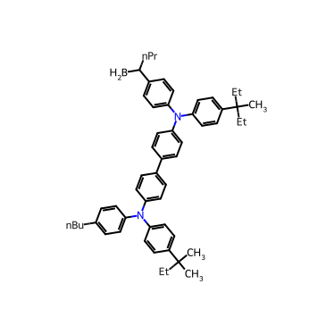 BC(CCC)c1ccc(N(c2ccc(-c3ccc(N(c4ccc(CCCC)cc4)c4ccc(C(C)(C)CC)cc4)cc3)cc2)c2ccc(C(C)(CC)CC)cc2)cc1